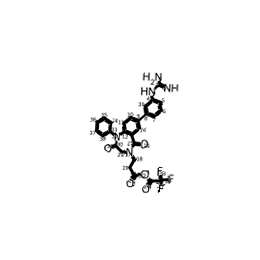 N=C(N)Nc1cccc(-c2ccc3c(c2)C(=O)N(CCC(=O)OC(=O)C(F)(F)F)CC(=O)N3c2ccccc2)c1